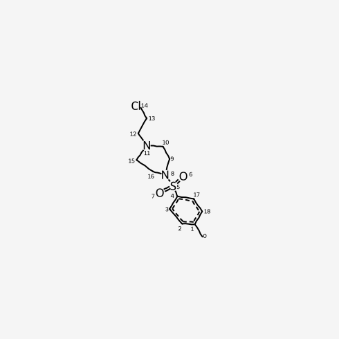 Cc1ccc(S(=O)(=O)N2CCN(CCCl)CC2)cc1